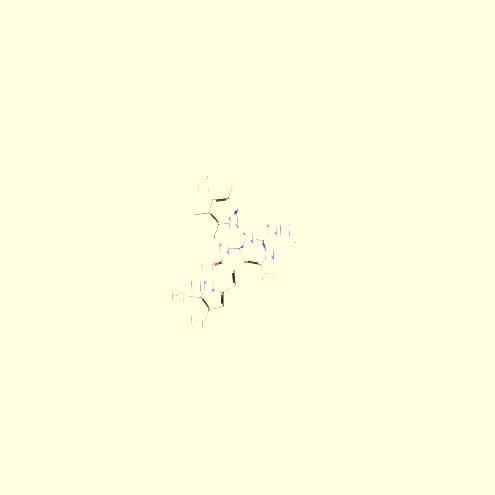 COc1c(C)cnc(CN2C(=O)/C(=C\c3cc(Br)c(Br)[nH]3)c3c(Cl)nc(N)nc32)c1C